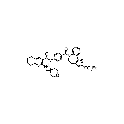 CCOC(=O)c1cc2c(s1)-c1ccccc1N(C(=O)c1ccc(NC(=O)c3cc4c(nc3N3CC5(CCOCC5)C3)CCCC4)cc1)CC2